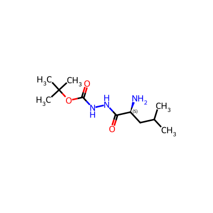 CC(C)C[C@H](N)C(=O)NNC(=O)OC(C)(C)C